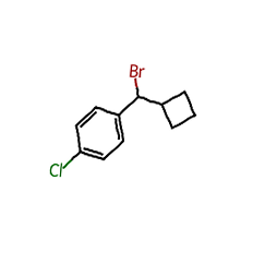 Clc1ccc(C(Br)C2CCC2)cc1